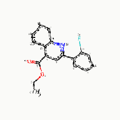 CCOC(=O)c1cc(-c2ccccc2F)nc2ccccc12